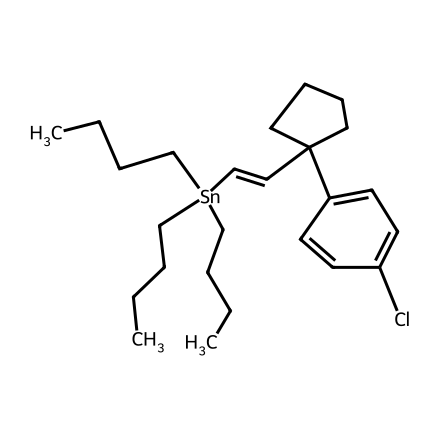 CCC[CH2][Sn]([CH]=CC1(c2ccc(Cl)cc2)CCCC1)([CH2]CCC)[CH2]CCC